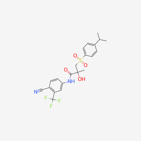 CC(C)c1ccc(S(=O)(=O)CC(C)(O)C(=O)Nc2ccc(C#N)c(C(F)(F)F)c2)cc1